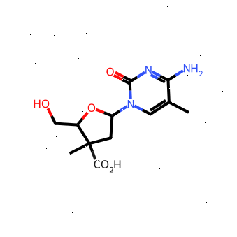 Cc1cn(C2CC(C)(C(=O)O)C(CO)O2)c(=O)nc1N